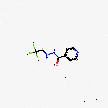 O=C(NNCC(F)(F)F)c1ccncc1